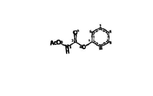 CC(=O)ONC(=O)Oc1ccccc1